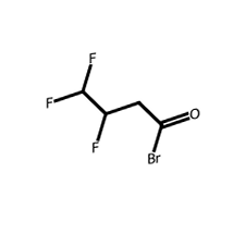 O=C(Br)CC(F)C(F)F